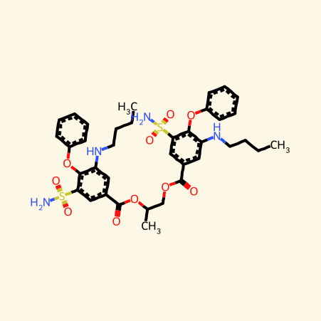 CCCCNc1cc(C(=O)OCC(C)OC(=O)c2cc(NCCCC)c(Oc3ccccc3)c(S(N)(=O)=O)c2)cc(S(N)(=O)=O)c1Oc1ccccc1